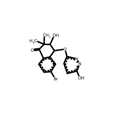 CC1(C)C(=O)c2ccc(Br)cc2C(Oc2ccc(O)nn2)C1O